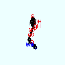 C[C@]12C=CC(=O)C=C1CC[C@@H]1[C@@H]2[C@@H](O)C[C@@]2(C)[C@H]1CC[C@]2(O)C(=O)COC(=O)CCC(=O)OCCc1ccc([C@@H](CN)C(=O)Nc2ccc3ccccc3c2)cc1